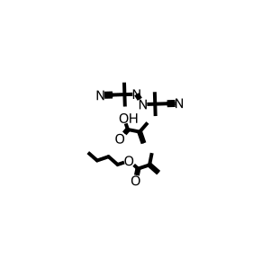 C=C(C)C(=O)O.C=C(C)C(=O)OCCCC.CC(C)(C#N)/N=N/C(C)(C)C#N